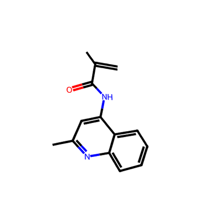 C=C(C)C(=O)Nc1cc(C)nc2ccccc12